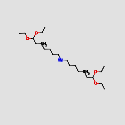 CCOC(C[SiH2]CCCCNCCCC[SiH2]CC(OCC)OCC)OCC